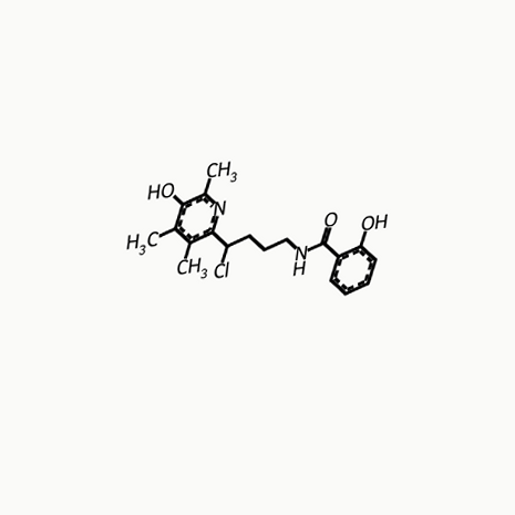 Cc1nc(C(Cl)CCCNC(=O)c2ccccc2O)c(C)c(C)c1O